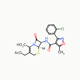 CC(=O)OCC1=C(C(=O)O)N2C(=O)[C@@H](NC(=O)c3c(-c4ccccc4Cl)noc3C)[C@H]2SC1